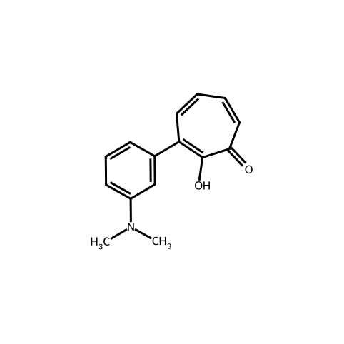 CN(C)c1cccc(-c2ccccc(=O)c2O)c1